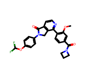 COc1cc(C(=O)N2CCC2)ccc1-c1nccc2c1CN(c1ccc(OC(F)F)cc1)C2=O